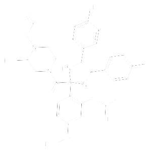 COc1ccc(C2(C(=O)N3CCN(CC=O)C(C)C3)NC(c3ccc(Cl)cc3)C(c3ccc(Cl)cc3)N2)c(OC(C)C)c1